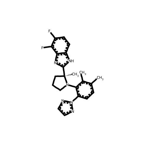 Cc1c[c]c(-n2nccn2)c(N2CCC[C@@]2(C)c2nc3c(F)c(F)ccc3[nH]2)c1C